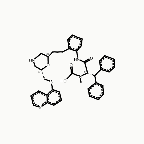 CN(C(=O)O)[C@H](C(=O)Nc1ccccc1CC[C@@H]1CNC[C@@H](CSc2cccc3ncccc23)O1)C(c1ccccc1)c1ccccc1